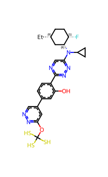 CC[C@@H]1CC[C@H](F)[C@H](N(c2cnc(-c3ccc(-c4cnnc(OC(S)(S)S)c4)cc3O)nn2)C2CC2)C1